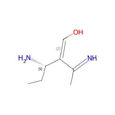 CC[C@H](N)/C(=C/O)C(C)=N